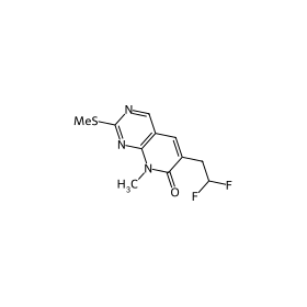 CSc1ncc2cc(CC(F)F)c(=O)n(C)c2n1